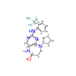 CN1C(=O)CCN(C2CCCC2)c2nc(Nc3ccccc3C(F)(F)F)ncc21